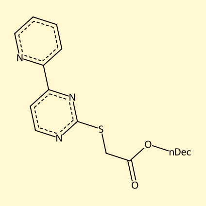 CCCCCCCCCCOC(=O)CSc1nccc(-c2ccccn2)n1